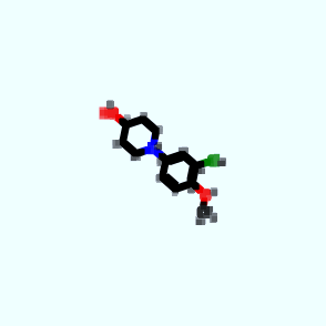 OC1CCN(c2ccc(OC(F)(F)F)c(Cl)c2)CC1